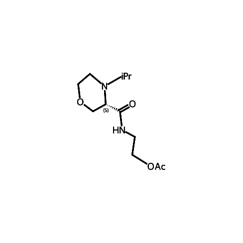 CC(=O)OCCNC(=O)[C@@H]1COCCN1C(C)C